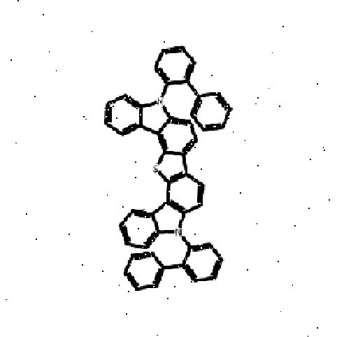 c1ccc(-c2ccccc2-n2c3ccccc3c3c4sc5c(ccc6c5c5ccccc5n6-c5ccccc5-c5ccccc5)c4ccc32)cc1